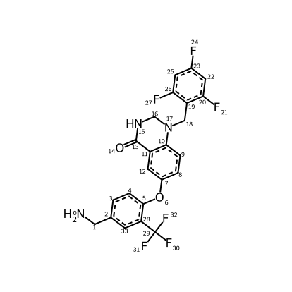 NCc1ccc(Oc2ccc3c(c2)C(=O)NCN3Cc2c(F)cc(F)cc2F)c(C(F)(F)F)c1